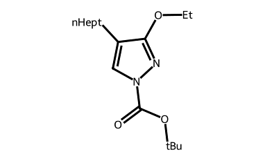 CCCCCCCc1cn(C(=O)OC(C)(C)C)nc1OCC